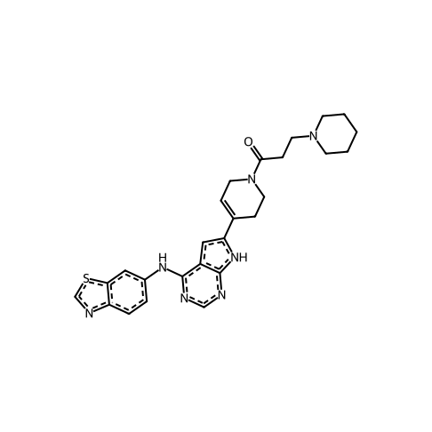 O=C(CCN1CCCCC1)N1CC=C(c2cc3c(Nc4ccc5ncsc5c4)ncnc3[nH]2)CC1